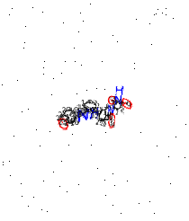 O=C1CCC(N2Cc3cc(C[C@H]4CCCC[C@@H]4NC4CCC5COC(C5)C4)ccc3C2=O)C(=O)N1